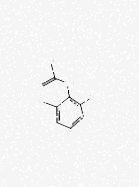 Nc1cccc(F)c1NC(=O)O